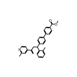 C=C(CC(c1ccc(-c2ccc(C(=O)OC)cc2)cc1)c1ccccc1C)c1ccnc(C)c1